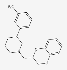 FC(F)(F)c1cccc(C2CCCN(C[C@H]3COc4ccccc4O3)C2)c1